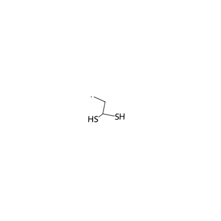 [CH2]CC(S)S